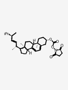 CC(C)[C@@H](C)/C=C/[C@@H](C)C1CC[C@H]2C3=CC=C4C[C@@H](OC(=O)ON5C(=O)CCC5=O)CC[C@]4(C)[C@H]3CC[C@]12C